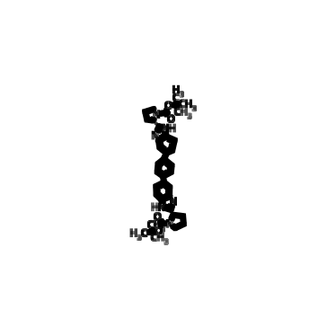 CC(C)(C)OC(=O)N1CCC[C@H]1c1nc2cc(-c3ccc(-c4ccc5[nH]c([C@@H]6CCCN6C(=O)OC(C)(C)C)nc5c4)cc3)ccc2[nH]1